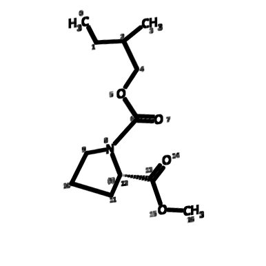 CCC(C)COC(=O)N1CCC[C@H]1C(=O)OC